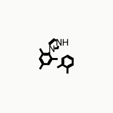 Cc1cc(C)c(N2C=CNC2)c(C)c1.Cc1ccccc1C